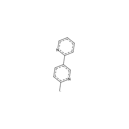 [CH2]c1ccc(-c2ccccn2)cn1